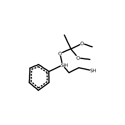 COC(C)(OC)O[SiH](CCS)c1ccccc1